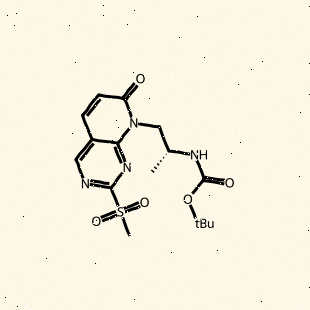 C[C@H](Cn1c(=O)ccc2cnc(S(C)(=O)=O)nc21)NC(=O)OC(C)(C)C